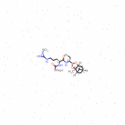 CCCCCCCC(=O)N[C@@H](CCCNC1NN1[N+](=O)[O-])C(=O)N[C@@H](CC(C)C)B1O[C@@H]2C[C@@H]3C[C@@H](C3(C)C)[C@]2(C)O1